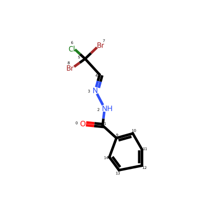 O=C(NN=CC(Cl)(Br)Br)c1ccccc1